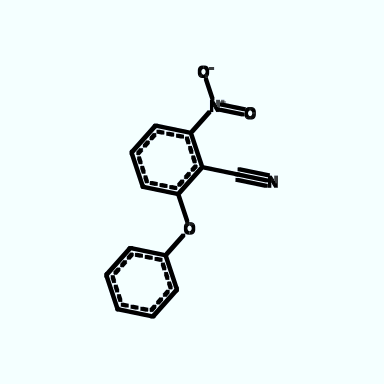 N#Cc1c(Oc2ccccc2)cccc1[N+](=O)[O-]